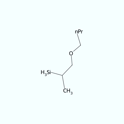 CCCCOCC(C)[SiH3]